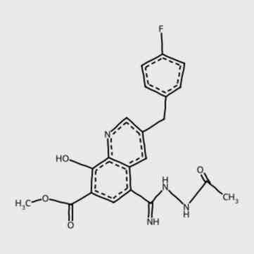 COC(=O)c1cc(C(=N)NNC(C)=O)c2cc(Cc3ccc(F)cc3)cnc2c1O